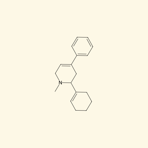 CN1CC=C(c2ccccc2)CC1C1=CCCCC1